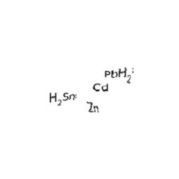 [Cd].[PbH2].[SnH2].[Zn]